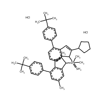 CC1=Cc2c(-c3ccc(C(C)(C)C)cc3)cc(C)cc2[CH]1[Zr]([CH3])([CH3])(=[SiH2])[CH]1C(C2CCCC2)=Cc2c(-c3ccc(C(C)(C)C)cc3)cccc21.Cl.Cl